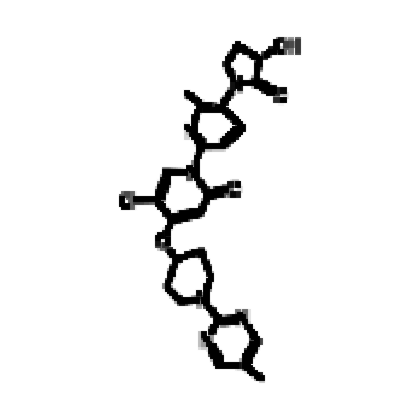 Cc1cnc(N2CCC(Oc3cc(=O)n(-c4ccc(N5CC[C@@H](O)C5=O)c(C)n4)cc3Cl)CC2)nc1